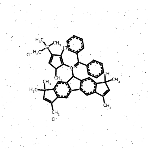 CC1=CC(C)(C)c2cc3c(cc21)-c1cc2c(cc1[CH]3[Zr+2]([C]1=C(C)C([Si](C)(C)C)=CC1C)=[C](c1ccccc1)c1ccccc1)C(C)(C)C=C2C.[Cl-].[Cl-]